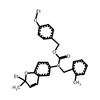 CCOc1ccc(COC(=O)N(Cc2ccccc2C)c2ccc3c(c2)C=CC(C)(CC)O3)cc1